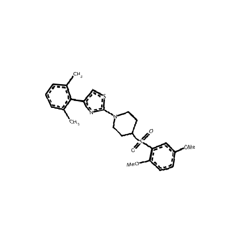 COc1ccc(OC)c(S(=O)(=O)C2CCN(c3nc(-c4c(C)cccc4C)cs3)CC2)c1